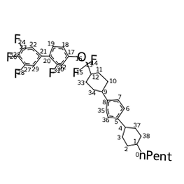 CCCCCC1CCC(c2ccc(C3CCC(C(F)(F)Oc4ccc(-c5cc(F)c(F)c(F)c5)c(F)c4)CC3)cc2)CC1